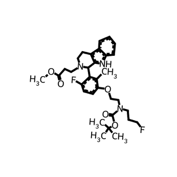 COC(=O)CCN1CCc2c([nH]c3ccccc23)C1c1c(F)ccc(OCCN(CCCF)C(=O)OC(C)(C)C)c1C